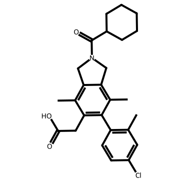 Cc1cc(Cl)ccc1-c1c(C)c2c(c(C)c1CC(=O)O)CN(C(=O)C1CCCCC1)C2